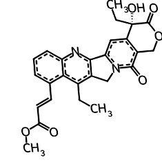 CCc1c2c(nc3cccc(C=CC(=O)OC)c13)-c1cc3c(c(=O)n1C2)COC(=O)[C@]3(O)CC